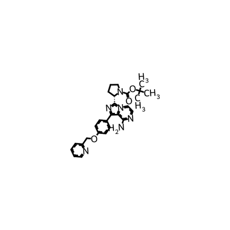 CC(C)(C)OC(=O)N1CCC[C@H]1c1nc(-c2ccc(OCc3ccccn3)cc2)c2c(N)nccn12